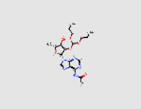 CC(=O)OCCOC(OCCOC(C)=O)OC1C(O)[C@@H](C)O[C@H]1n1cnc2c(NC(=O)C(C)C)ncnc21